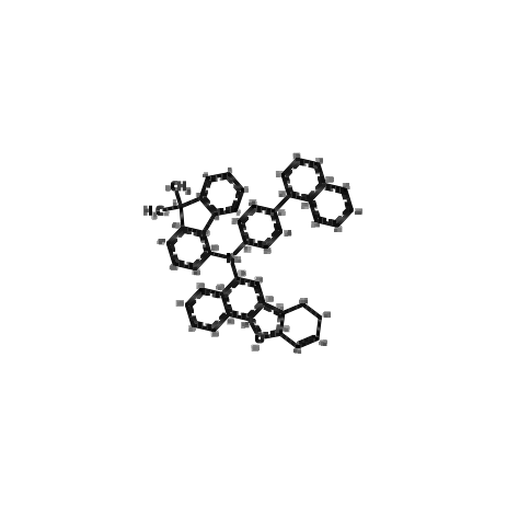 CC1(C)c2ccccc2-c2c(N(c3ccc(-c4cccc5ccccc45)cc3)c3cc4c5c(oc4c4ccccc34)C=CCC5)cccc21